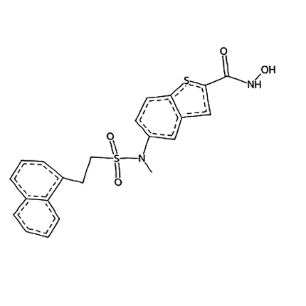 CN(c1ccc2sc(C(=O)NO)cc2c1)S(=O)(=O)CCc1cccc2ccccc12